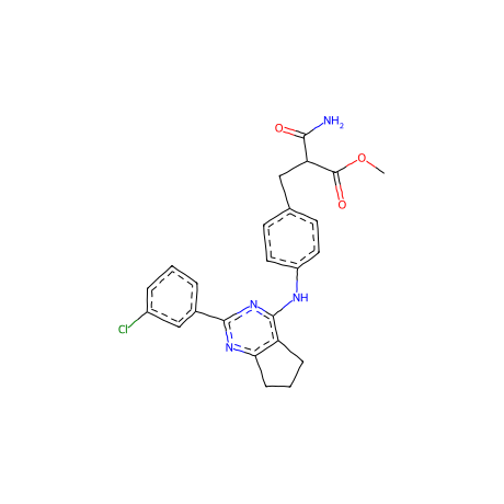 COC(=O)C(Cc1ccc(Nc2nc(-c3cccc(Cl)c3)nc3c2CCC3)cc1)C(N)=O